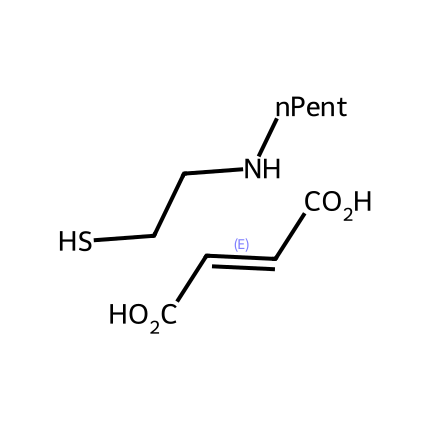 CCCCCNCCS.O=C(O)/C=C/C(=O)O